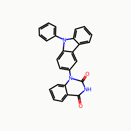 O=c1[nH]c(=O)n(-c2ccc3c(c2)c2ccccc2n3-c2ccccc2)c2ccccc12